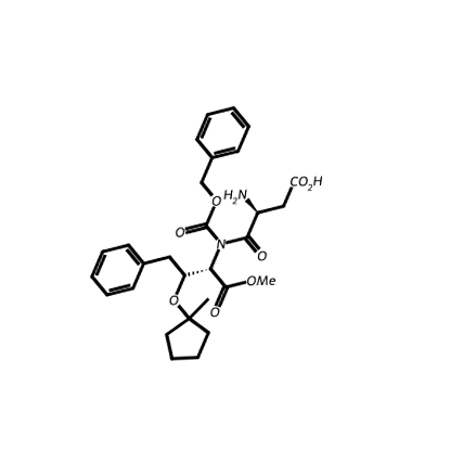 COC(=O)[C@H](C(Cc1ccccc1)OC1(C)CCCC1)N(C(=O)OCc1ccccc1)C(=O)[C@@H](N)CC(=O)O